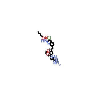 CCCCCOC(=O)Nc1nc2cc(CC[C@@]3(C)C[C@@H](n4ccc5c(N)ncnc54)[C@@H]4OC(C)(C)O[C@@H]43)ccc2cc1Cl